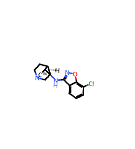 Clc1cccc2c(N[C@H]3CN4CCC3CC4)noc12